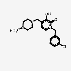 O=C(O)N1CCN(Cc2ccn(Cc3cccc(Cl)c3)c(=O)c2O)CC1